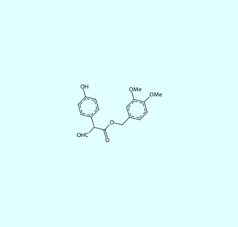 COc1ccc(COC(=O)C([C]=O)c2ccc(O)cc2)cc1OC